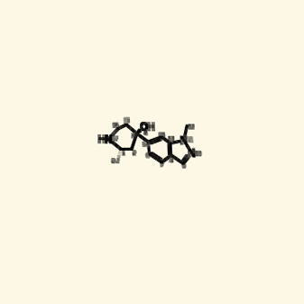 C[C@H]1C[C@@](O)(c2ccc3cnn(C)c3c2)CCN1